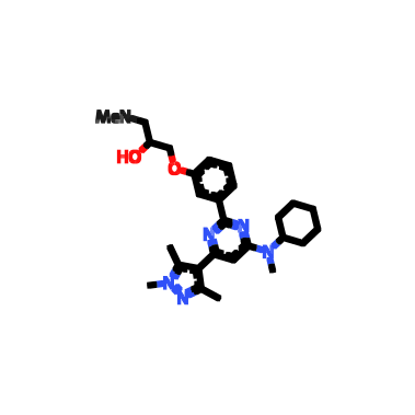 CNCC(O)COc1cccc(-c2nc(-c3c(C)nn(C)c3C)cc(N(C)C3CCCCC3)n2)c1